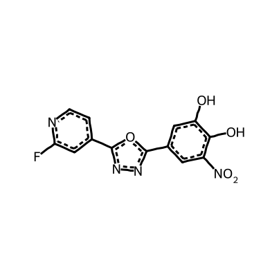 O=[N+]([O-])c1cc(-c2nnc(-c3ccnc(F)c3)o2)cc(O)c1O